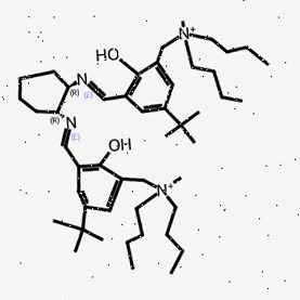 CCCC[N+](C)(CCCC)Cc1cc(C(C)(C)C)cc(/C=N/[C@@H]2CCCC[C@H]2/N=C/c2cc(C(C)(C)C)cc(C[N+](C)(CCCC)CCCC)c2O)c1O